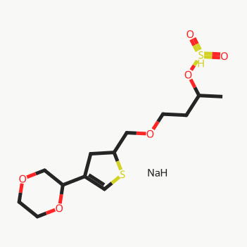 CC(CCOCC1CC(C2COCCO2)=CS1)O[SH](=O)=O.[NaH]